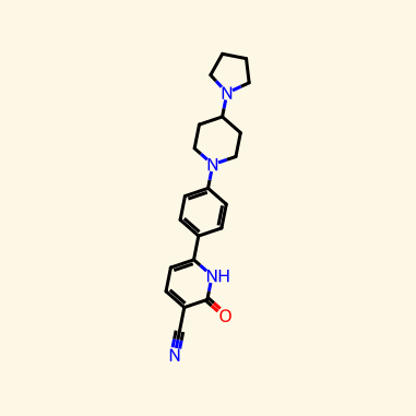 N#Cc1ccc(-c2ccc(N3CCC(N4CCCC4)CC3)cc2)[nH]c1=O